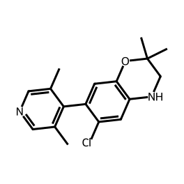 Cc1cncc(C)c1-c1cc2c(cc1Cl)NCC(C)(C)O2